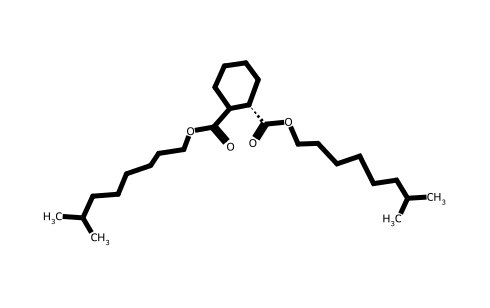 CC(C)CCCCCCOC(=O)C1CCCC[C@@H]1C(=O)OCCCCCCC(C)C